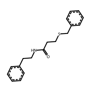 O=C(CCSCc1ccccc1)NCCc1ccccc1